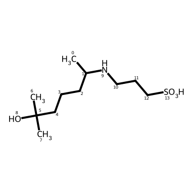 CC(CCCC(C)(C)O)NCCCS(=O)(=O)O